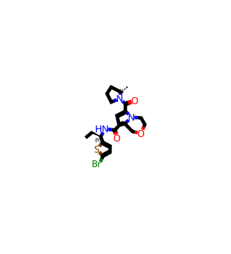 CC[C@@H](NC(=O)c1cc(C(=O)N2CCC[C@@H]2C)n2c1COCC2)c1ccc(Br)s1